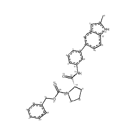 Cc1cc2cc(-c3cccc(NC(=O)[C@@H]4CCCN4C(=O)OCc4ccccc4)c3)ccc2[nH]1